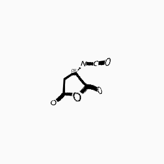 O=C=N[C@H]1CC(=O)OC1=O